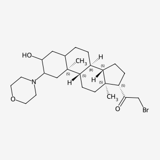 C[C@]12CC[C@H]3[C@@H](CCC4CC(O)C(N5CCOCC5)C[C@@]43C)[C@@H]1CC[C@@H]2C(=O)CBr